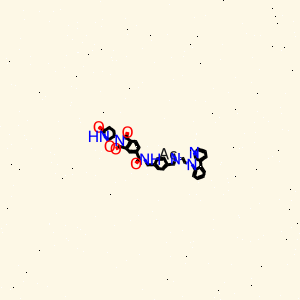 CC(=O)N(CCn1c2ccccc2c2cccnc21)Cc1ccc(CNC(=O)c2ccc3c(c2)C(=O)N(C2CCC(=O)NC2=O)C3=O)cc1